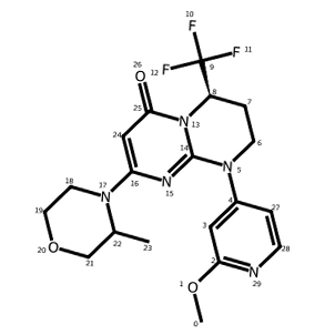 COc1cc(N2CC[C@H](C(F)(F)F)n3c2nc(N2CCOCC2C)cc3=O)ccn1